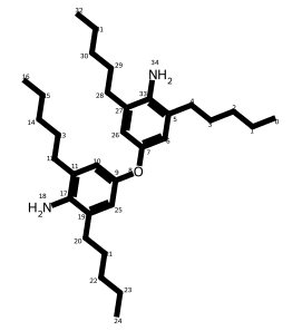 CCCCCc1cc(Oc2cc(CCCCC)c(N)c(CCCCC)c2)cc(CCCCC)c1N